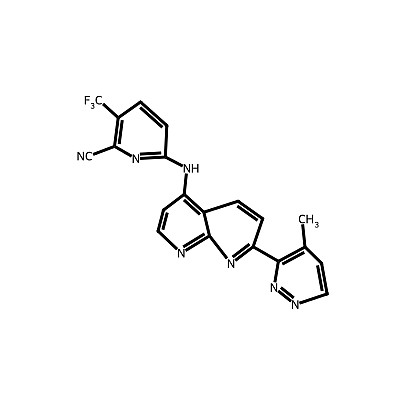 Cc1ccnnc1-c1ccc2c(Nc3ccc(C(F)(F)F)c(C#N)n3)ccnc2n1